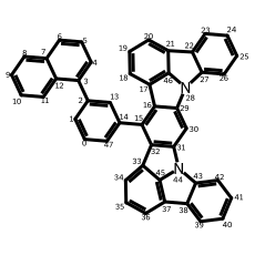 c1cc(-c2cccc3ccccc23)cc(-c2c3c4cccc5c6ccccc6n(c3cc3c2c2cccc6c7ccccc7n3c62)c54)c1